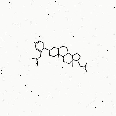 CN(C)Cc1ccccc1C1CCC2(C)C(CCC3C2CCC2(C)C(CN(C)C)CCC32)C1